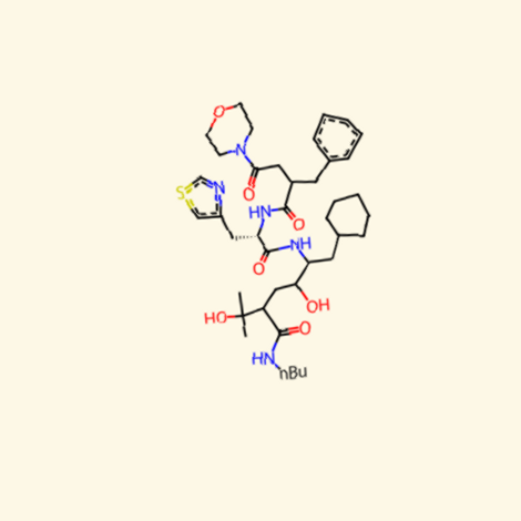 CCCCNC(=O)C(CC(O)C(CC1CCCCC1)NC(=O)[C@H](Cc1cscn1)NC(=O)C(CC(=O)N1CCOCC1)Cc1ccccc1)C(C)(C)O